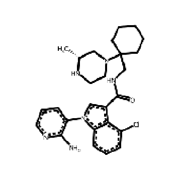 C[C@@H]1CN(C2(CNC(=O)c3cn(-c4cccnc4N)c4cccc(Cl)c34)CCCCC2)CCN1